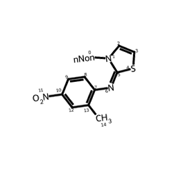 CCCCCCCCCn1ccsc1=Nc1ccc([N+](=O)[O-])cc1C